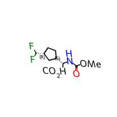 COC(=O)NC(C(=O)O)[C@H]1CC[C@@H](C(F)F)C1